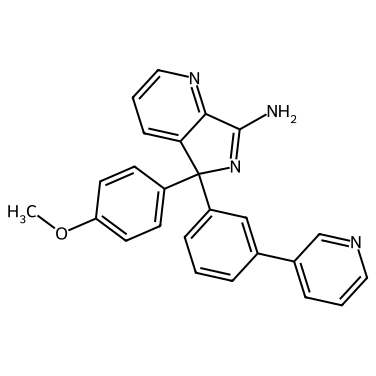 COc1ccc(C2(c3cccc(-c4cccnc4)c3)N=C(N)c3ncccc32)cc1